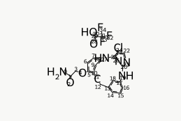 NC(=O)COc1ccc2cc1CCc1cccc(c1)Nc1ncc(Cl)c(n1)N2.O=C(O)C(F)(F)F